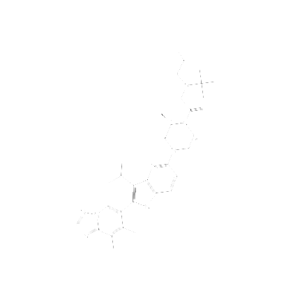 Cc1c(-c2[nH]c3ccc(N4C[C@@H](C)N(C(=O)CN(CCO)C(C)(C)C)[C@H](C)C4)nc3c2C(C)C)cn2ncnc2c1C